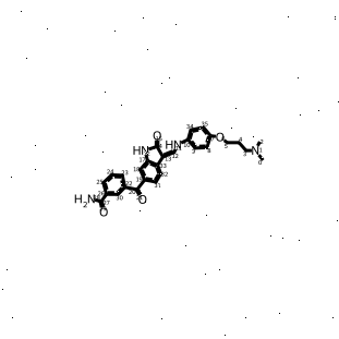 CN(C)CCCOc1ccc(NC=C2C(=O)Nc3cc(C(=O)c4cccc(C(N)=O)c4)ccc32)cc1